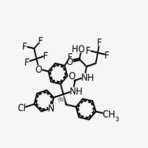 Cc1ccc(C[C@](NC(=O)NC(CC(F)(F)F)C(=O)O)(c2cc(F)cc(OC(F)(F)C(F)F)c2)c2ccc(Cl)cn2)cc1